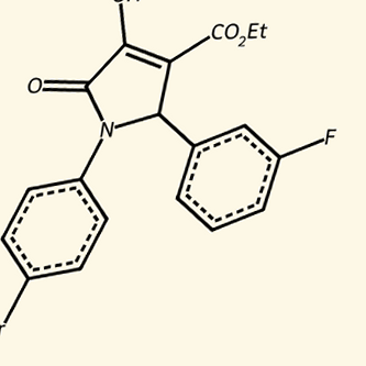 CCOC(=O)C1=C(O)C(=O)N(c2ccc(Br)cc2)C1c1cccc(F)c1